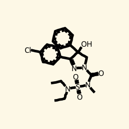 CCN(CC)S(=O)(=O)N(C)C(=O)N1CC(O)(c2ccccc2)C(c2ccc(Cl)cc2)=N1